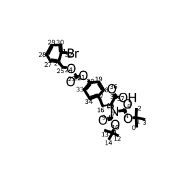 CC(C)(C)OC(=O)N(C(=O)OC(C)(C)C)[C@@H](Cc1ccc(OC(=O)OCc2ccccc2Br)cc1)C(=O)O